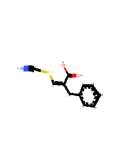 N#CS/C=C(/Cc1ccccc1)C(=O)O